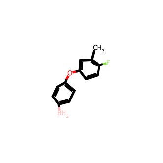 Bc1ccc(Oc2ccc(F)c(C)c2)cc1